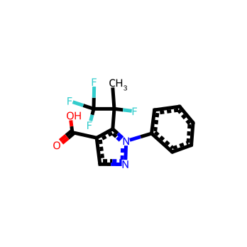 CC(F)(c1c(C(=O)O)cnn1-c1ccccc1)C(F)(F)F